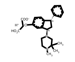 CN1CCN([C@@H]2C[C@@H](c3ccccc3)c3ccc(Cl)cc32)CC1(C)C.O=C([O-])CC(=O)O.[H+]